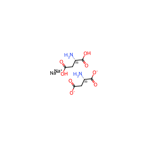 N[C@@H](CC(=O)O)C(=O)O.N[C@@H](CC(=O)[O-])C(=O)[O-].[Na+].[Na+]